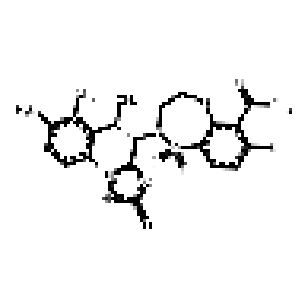 CC(=O)c1c(Cl)ccc2c1OCCN([C@H](c1n[nH]c(=O)o1)C(C)c1c(F)ccc(C)c1C)S2(=O)=O